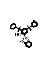 CN(/N=C1/C=CC=CC1=N)c1cc(C(C)(C)c2cc#ccc2)cc(C(C)(C)c2ccccc2)c1O